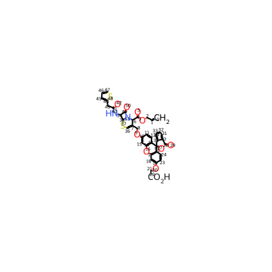 C=CCOC(=O)C1C(COc2ccc3c(c2)Oc2cc(OCC(=O)O)ccc2C32OC(=O)c3ccccc32)=CSC2C(NC(=O)Cc3cccs3)C(=O)N12